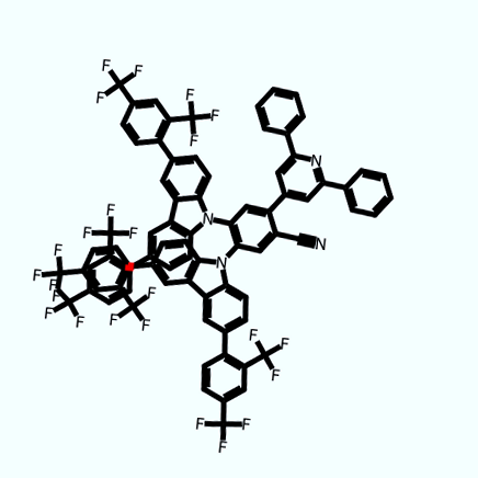 N#Cc1cc(-n2c3ccc(-c4ccc(C(F)(F)F)cc4C(F)(F)F)cc3c3cc(-c4ccc(C(F)(F)F)cc4C(F)(F)F)ccc32)c(-n2c3ccc(-c4ccc(C(F)(F)F)cc4C(F)(F)F)cc3c3cc(-c4ccc(C(F)(F)F)cc4C(F)(F)F)ccc32)cc1-c1cc(-c2ccccc2)nc(-c2ccccc2)c1